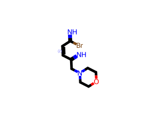 N=C(Br)/C=C\C(=N)CN1CCOCC1